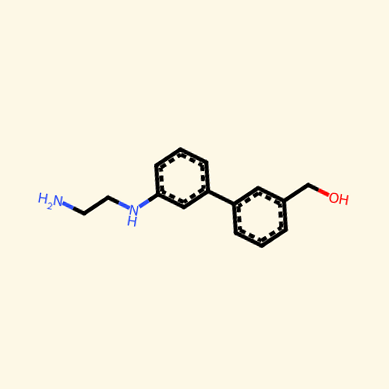 NCCNc1cccc(-c2cccc(CO)c2)c1